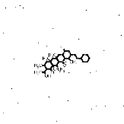 CC(C)C1CC(CCC2CCCCC2)C(C)C2C(=O)C3C(C)C4(C)C(=O)C(C(C)O)C(C)CC4(C)CC3(C)CC12